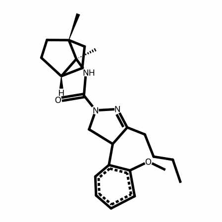 CCCCC1=NN(C(=O)N[C@@]2(C)[C@H]3CC[C@]2(C)CC3)CC1c1ccccc1OC